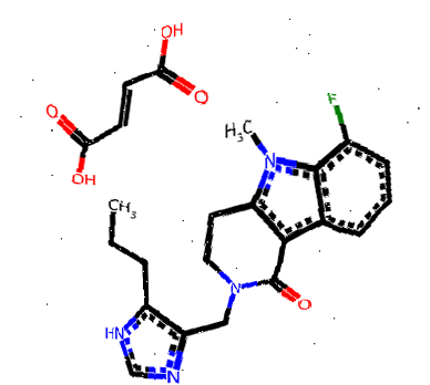 CCCc1[nH]cnc1CN1CCc2c(c3cccc(F)c3n2C)C1=O.O=C(O)C=CC(=O)O